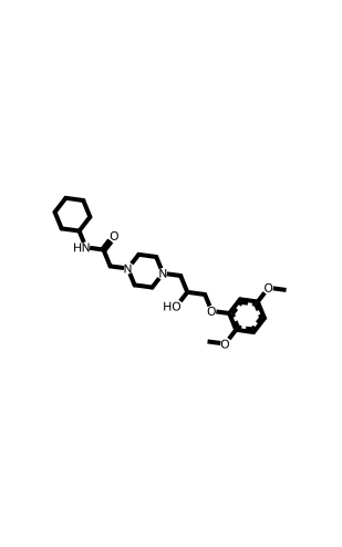 COc1ccc(OC)c(OCC(O)CN2CCN(CC(=O)NC3CCCCC3)CC2)c1